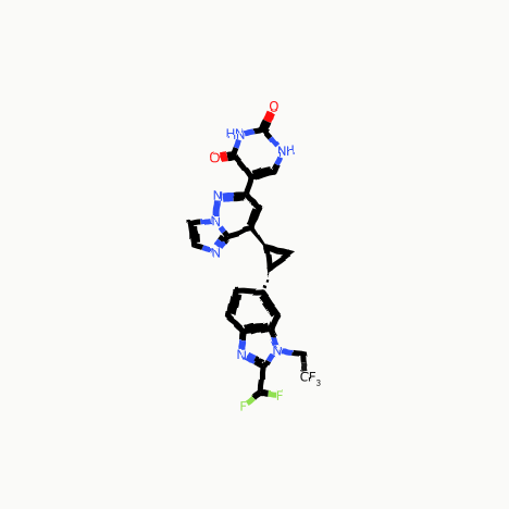 O=c1[nH]cc(-c2cc([C@H]3C[C@@H]3c3ccc4nc(C(F)F)n(CC(F)(F)F)c4c3)c3nccn3n2)c(=O)[nH]1